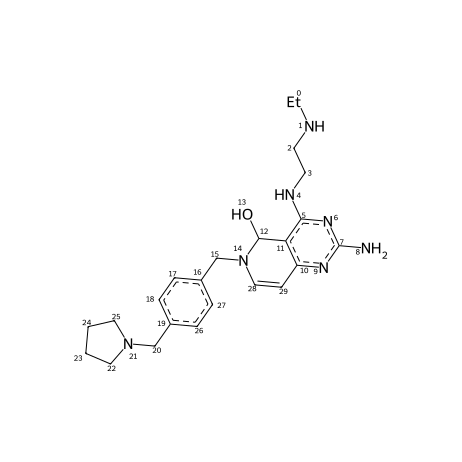 CCNCCNc1nc(N)nc2c1C(O)N(Cc1ccc(CN3CCCC3)cc1)C=C2